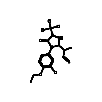 CCOc1ccc(N2C(=O)N(C(Cl)(Cl)Cl)NC2C(C)C=S)cc1Cl